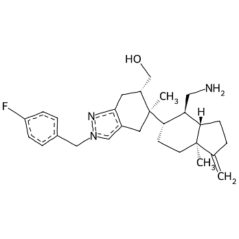 C=C1CC[C@H]2[C@H](CN)[C@@H]([C@@]3(C)Cc4cn(Cc5ccc(F)cc5)nc4C[C@@H]3CO)CC[C@]12C